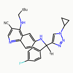 [2H]C(Nc1ccc2ncc(C#N)c(NCC(C)(C)C)c2c1)(c1ccc(F)cc1)c1cn(C2CC2)nn1